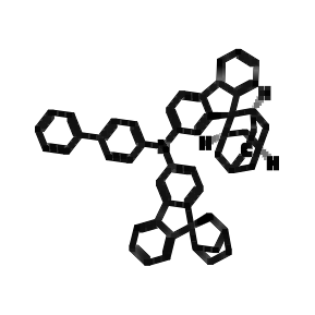 c1ccc(-c2ccc(N(c3ccc4c(c3)-c3ccccc3[C@]43CC4CCC3C4)c3ccc4c(c3)[C@@]3(c5ccccc5-4)[C@@H]4CCC5C[C@H](C4)C[C@H]3C5)cc2)cc1